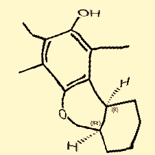 Cc1c(C)c2c(c(C)c1O)[C@H]1CCC[C@H]1O2